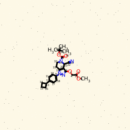 COC(=O)COc1nn(-c2ccc(C3CCC3)cc2)c2c1C(C#N)N(C(=O)OC(C)(C)C)CC2